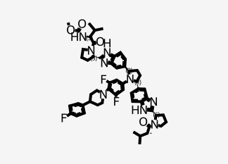 COC(=O)N[C@H](C(=O)N1CCC[C@H]1c1nc2cc([C@H]3CC[C@H](c4ccc5[nH]c([C@@H]6CCCN6C(=O)[CH]C(C)C)nc5c4)N3c3cc(F)c(N4CCC(c5ccc(F)cc5)CC4)c(F)c3)ccc2[nH]1)C(C)C